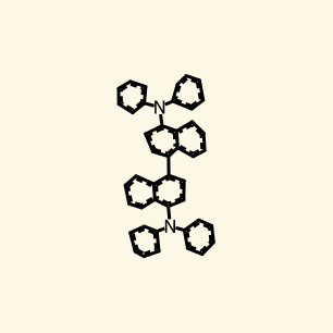 c1ccc(N(c2ccccc2)c2ccc(-c3ccc(N(c4ccccc4)c4ccccc4)c4ccccc34)c3ccccc23)cc1